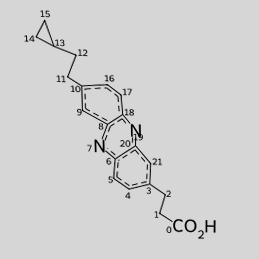 O=C(O)CCc1ccc2nc3cc(CCC4CC4)ccc3nc2c1